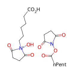 CCCCCC(=O)ON1C(=O)CCC1=O.O=C(O)CCCCC[N+]1(O)C(=O)CCC1=O